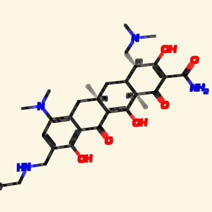 CC(C)CNCc1cc(N(C)C)c2c(c1O)C(=O)C1=C(O)[C@]3(C)C(=O)C(C(N)=O)=C(O)[C@@H](CN(C)C)C3C[C@]1(C)C2